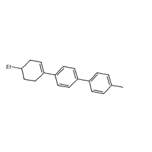 CCC1CC=C(c2ccc(-c3ccc(C)cc3)cc2)CC1